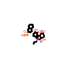 C=CCN1CC[C@]23c4c5ccc(O)c4O[C@H]2C(=O)CC[C@@]3(O)[C@H]1C5.O=S(=O)(O)c1ccc2ccccc2c1